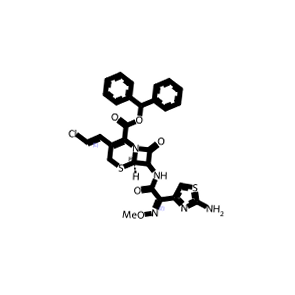 CO/N=C(\C(=O)NC1C(=O)N2C(C(=O)OC(c3ccccc3)c3ccccc3)=C(/C=C/Cl)CS[C@H]12)c1csc(N)n1